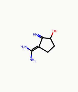 N=C1C(=C(N)N)CCC1O